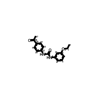 CCOc1cccc(NC(=O)Nc2ccc(C(C)=O)cc2)c1